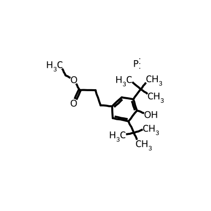 CCOC(=O)CCc1cc(C(C)(C)C)c(O)c(C(C)(C)C)c1.[P]